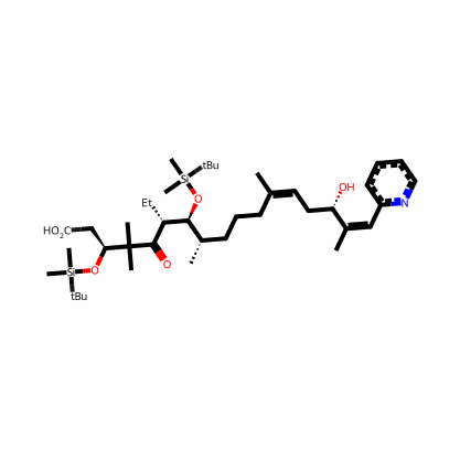 CC[C@@H](C(=O)C(C)(C)[C@H](CC(=O)O)O[Si](C)(C)C(C)(C)C)[C@@H](O[Si](C)(C)C(C)(C)C)[C@@H](C)CCCC(C)=CC[C@H](O)C(C)=Cc1ccccn1